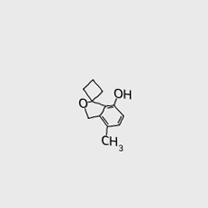 Cc1ccc(O)c2c1COC21CCC1